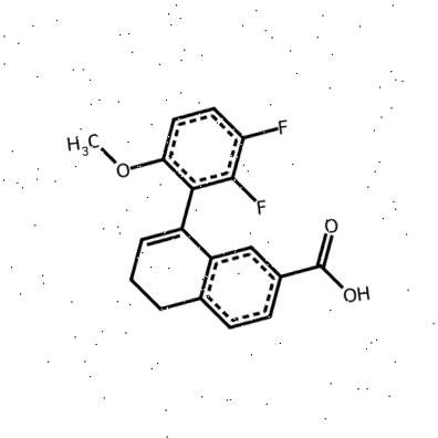 COc1ccc(F)c(F)c1C1=CCCc2ccc(C(=O)O)cc21